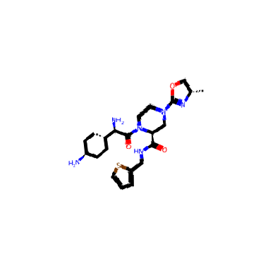 C[C@H]1COC(N2CCN(C(=O)[C@H](N)[C@H]3CC[C@H](N)CC3)[C@H](C(=O)NCc3cccs3)C2)=N1